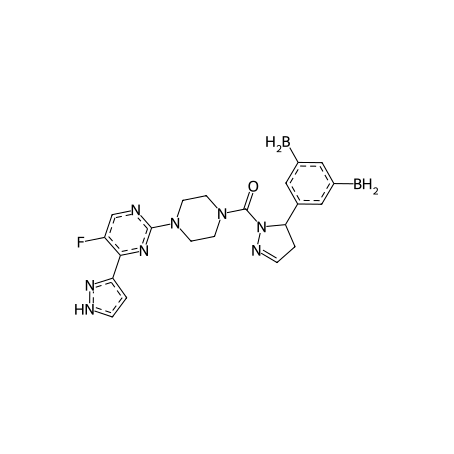 Bc1cc(B)cc(C2CC=NN2C(=O)N2CCN(c3ncc(F)c(-c4cc[nH]n4)n3)CC2)c1